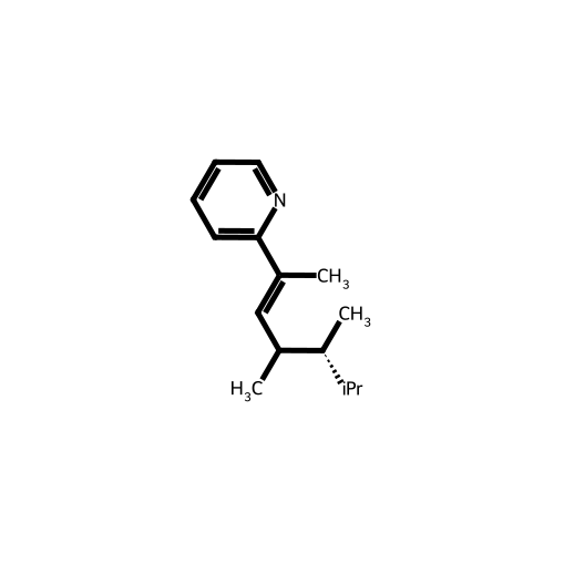 C/C(=C\C(C)[C@H](C)C(C)C)c1ccccn1